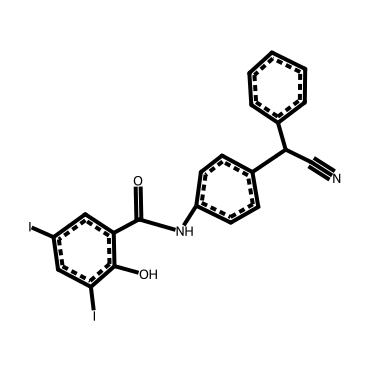 N#CC(c1ccccc1)c1ccc(NC(=O)c2cc(I)cc(I)c2O)cc1